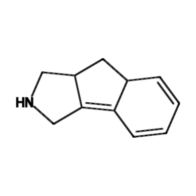 C1=CC2=C3CNCC3CC2C=C1